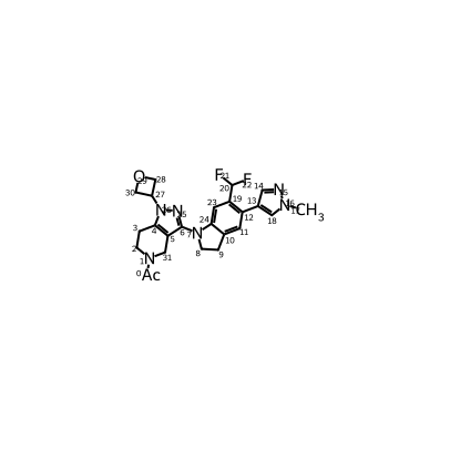 CC(=O)N1CCc2c(c(N3CCc4cc(-c5cnn(C)c5)c(C(F)F)cc43)nn2C2COC2)C1